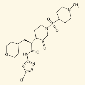 CN1CCC(S(=O)(=O)N2CCN([C@H](CC3CCOCC3)C(=O)Nc3ncc(Cl)s3)C(=O)C2)CC1